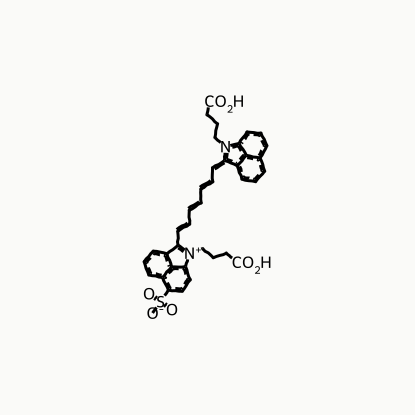 O=C(O)CCCn1/c(=C/C=C/C=C/C=C/C2=[N+](CCCC(=O)O)c3ccc(S(=O)(=O)[O-])c4cccc2c34)c2cccc3cccc1c32